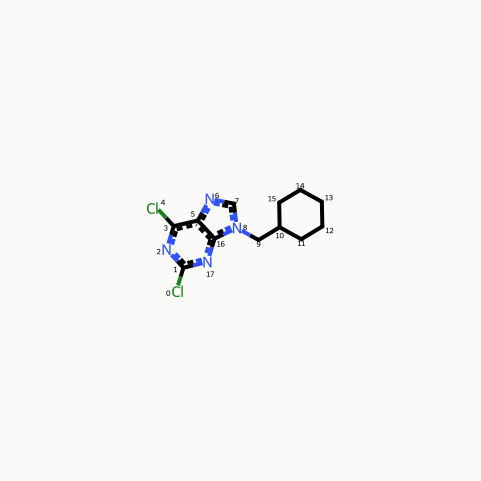 Clc1nc(Cl)c2ncn(CC3CCCCC3)c2n1